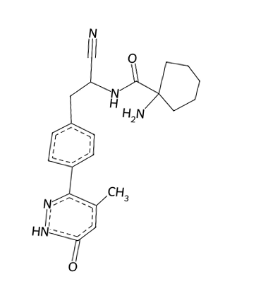 Cc1cc(=O)[nH]nc1-c1ccc(CC(C#N)NC(=O)C2(N)CCCCC2)cc1